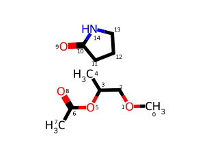 COCC(C)OC(C)=O.O=C1CCCN1